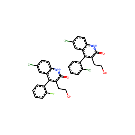 O=c1[nH]c2ccc(Cl)cc2c(-c2ccccc2Cl)c1CCO.O=c1[nH]c2ccc(Cl)cc2c(-c2ccccc2F)c1CCO